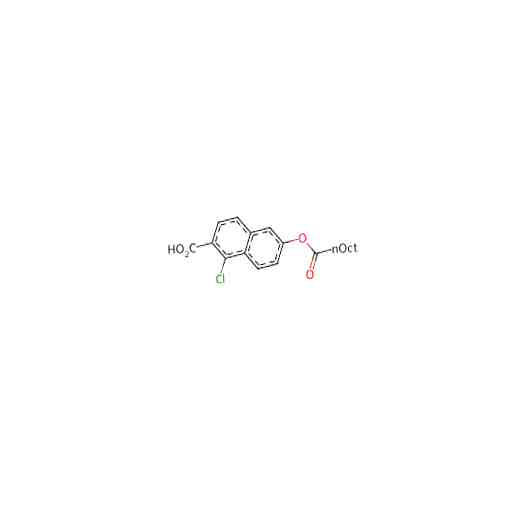 CCCCCCCCC(=O)Oc1ccc2c(Cl)c(C(=O)O)ccc2c1